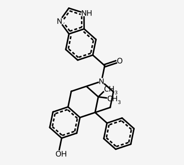 CC1(C)C2Cc3ccc(O)cc3C1(c1ccccc1)CCN2C(=O)c1ccc2nc[nH]c2c1